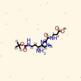 COC(=O)CCNC(=O)c1nc(C(N)CCNC(=O)OC(C)(C)C)cn1C